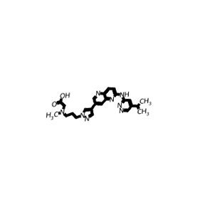 CC(C)c1cnnc(Nc2ccc3ncc(-c4cnn(CCCN(C)CC(=O)O)c4)cc3n2)c1